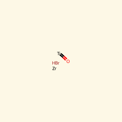 Br.[O]=[Ti].[Zr]